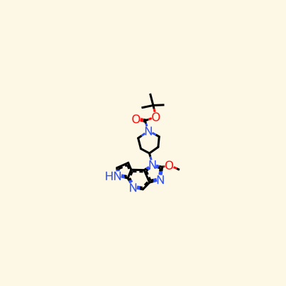 COc1nc2cnc3[nH]ccc3c2n1C1CCN(C(=O)OC(C)(C)C)CC1